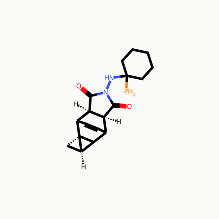 O=C1[C@@H]2C3C=CC(C4[C@H]5C[C@]345)[C@@H]2C(=O)N1NC1(P)CCCCC1